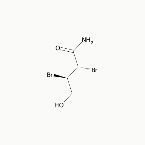 NC(=O)[C@H](Br)[C@H](Br)CO